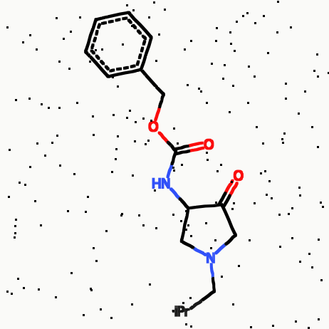 C[C](C)CN1CC(=O)C(NC(=O)OCc2ccccc2)C1